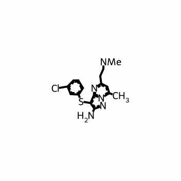 CNCCc1cc(C)n2nc(N)c(Sc3cccc(Cl)c3)c2n1